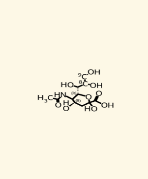 CC(=O)NC1[C@H](C(O)[8CH](O)[9CH2]O)OC(O)(C(=O)O)C[C@H]1O